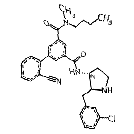 CCCCN(C)C(=O)c1cc(C(=O)N[C@@H]2CCNC2Cc2cccc(Cl)c2)cc(-c2ccccc2C#N)c1